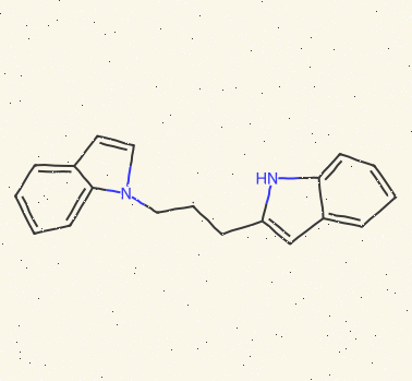 [CH](Cc1cc2ccccc2[nH]1)Cn1ccc2ccccc21